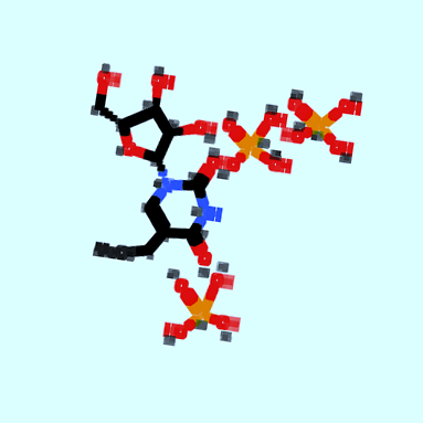 COCc1cn([C@@H]2O[C@H](CO)[C@@H](O)[C@H]2O)c(=O)[nH]c1=O.O=P(O)(O)O.O=P(O)(O)O.O=P(O)(O)O